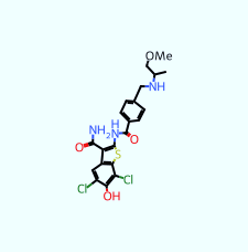 COCC(C)NCc1ccc(C(=O)Nc2sc3c(Cl)c(O)c(Cl)cc3c2C(N)=O)cc1